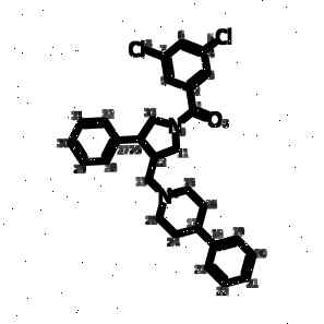 O=C(c1cc(Cl)cc(Cl)c1)N1CC(CN2CCC(c3ccccc3)CC2)C(c2ccccc2)C1